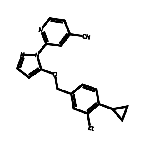 CCc1cc(COc2ccnn2-c2cc(C#N)ccn2)ccc1C1CC1